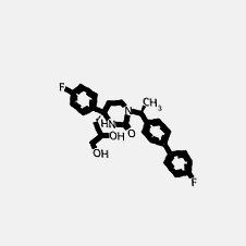 C[C@@H](c1ccc(-c2ccc(F)cc2)cc1)N1CC[C@](CC(O)CO)(c2ccc(F)cc2)NC1=O